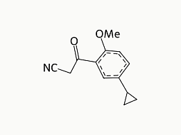 COc1ccc(C2CC2)cc1C(=O)CC#N